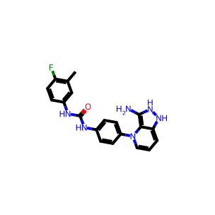 Cc1cc(NC(=O)Nc2ccc(N3C=CC=C4NNC(N)=C43)cc2)ccc1F